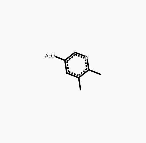 CC(=O)Oc1cnc(C)c(C)c1